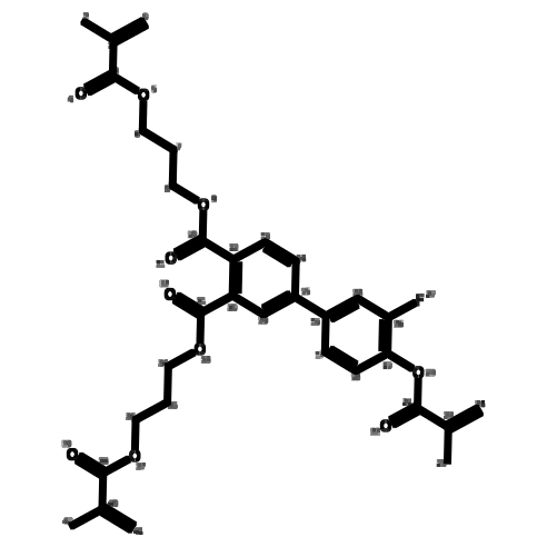 C=C(C)C(=O)OCCCOC(=O)c1ccc(-c2ccc(OC(=O)C(=C)C)c(F)c2)cc1C(=O)OCCCOC(=O)C(=C)C